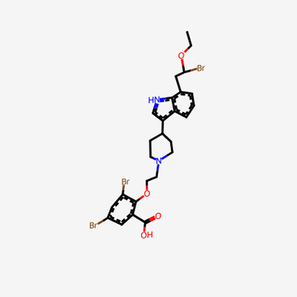 CCOC(Br)Cc1cccc2c(C3CCN(CCOc4c(Br)cc(Br)cc4C(=O)O)CC3)c[nH]c12